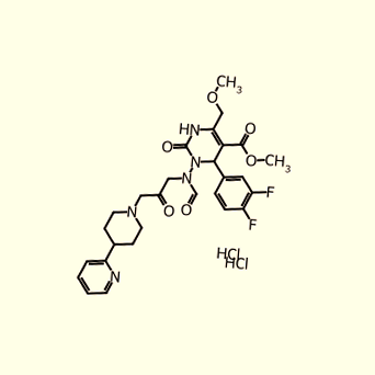 COCC1=C(C(=O)OC)C(c2ccc(F)c(F)c2)N(N(C=O)CC(=O)CN2CCC(c3ccccn3)CC2)C(=O)N1.Cl.Cl